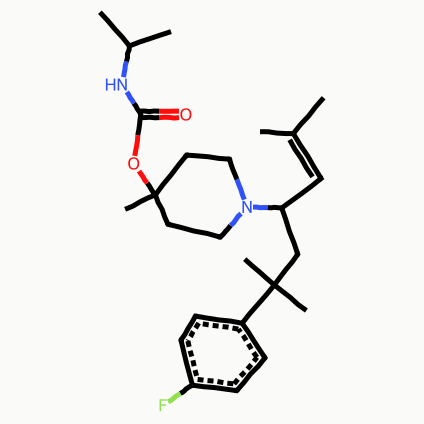 CC(C)=CC(CC(C)(C)c1ccc(F)cc1)N1CCC(C)(OC(=O)NC(C)C)CC1